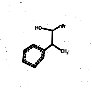 [CH2]C(c1ccccc1)C(O)CCC